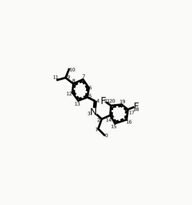 CCC(N=Cc1ccc(C(C)C)cc1)c1ccc(F)cc1F